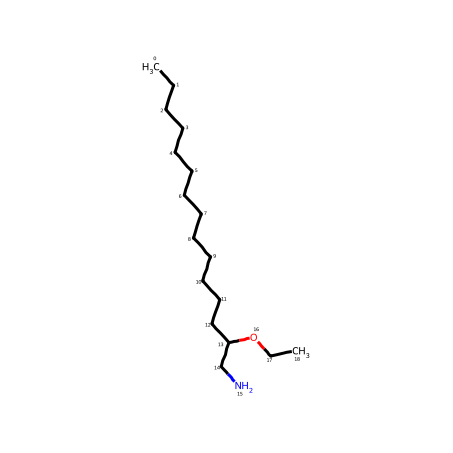 CCCCCCCCCCCCCC(CN)OCC